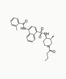 CCCC(=O)N1CC[C@@H](NS(=O)(=O)c2ccc(NC(=O)c3ccccc3C)c3ccccc23)[C@@H](C)C1